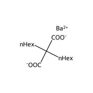 CCCCCCC(CCCCCC)(C(=O)[O-])C(=O)[O-].[Ba+2]